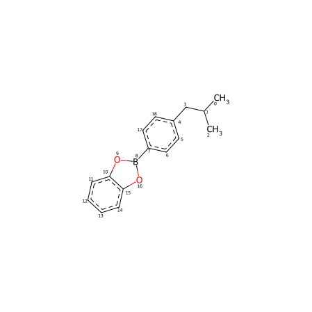 CC(C)Cc1ccc(B2Oc3ccccc3O2)cc1